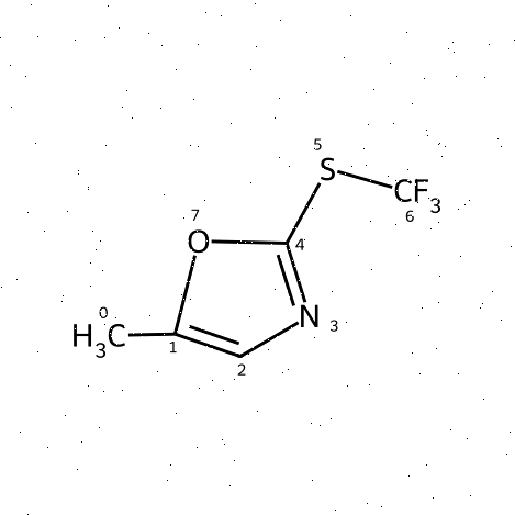 Cc1cnc(SC(F)(F)F)o1